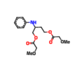 COCC(=O)OCCC(COC(=O)COC)Nc1ccccc1